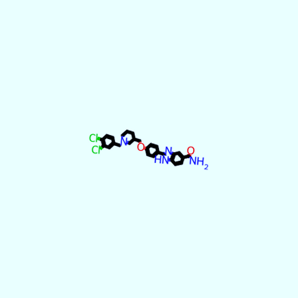 NC(=O)c1ccc2[nH]c(-c3ccc(OCC4CCCN(Cc5ccc(Cl)c(Cl)c5)C4)cc3)nc2c1